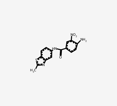 Cc1nc2cc(NC(=O)c3ccc(N)c([N+](=O)[O-])c3)ccc2s1